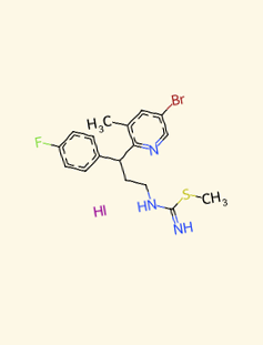 CSC(=N)NCCC(c1ccc(F)cc1)c1ncc(Br)cc1C.I